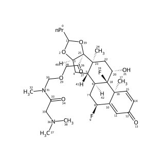 CCCC1O[C@@H]2C[C@H]3[C@@H]4C[C@H](F)C5=CC(=O)C=C[C@]5(C)[C@@]4(F)[C@@H](O)C[C@]3(C)[C@]2(C(=O)COCN(C)C(=O)CN(C)C)O1